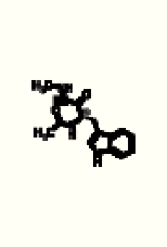 CNNC(=O)[C@H](Cc1c[nH]c2ccccc12)NC(C)=O